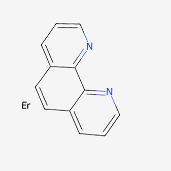 [Er].c1cnc2c(c1)ccc1cccnc12